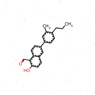 CCCc1ccc(-c2ccc3c(C=O)c(O)ccc3c2)cc1C